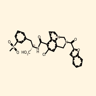 CS(=O)(=O)c1cccc(C[C@H](NC(=O)c2c(Cl)cc3c4c2ccn4CN(C(=O)c2cc4ccccc4o2)C3)C(=O)O)c1